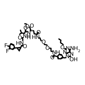 CCCCOc1nc(N)c2nc(O)n(Cc3ccc(C(=O)NCCOCCOCCNC(=O)CC[C@@H](NC(=O)C(NC(=O)CNC(=O)C4CC4c4ccc(F)c(F)c4)C(C)C)C(=O)OCC)cc3)c2n1